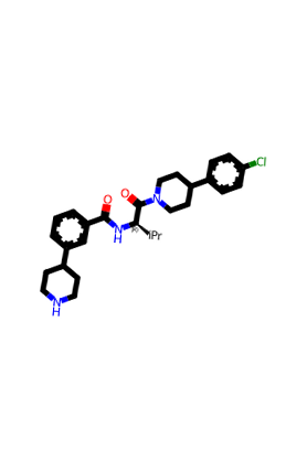 CC(C)[C@@H](NC(=O)c1cccc(C2CCNCC2)c1)C(=O)N1CCC(c2ccc(Cl)cc2)CC1